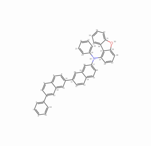 c1ccc(-c2ccc3ccc(-c4ccc5ccc(N(c6ccccc6)c6cccc7oc8ccccc8c67)cc5c4)cc3c2)cc1